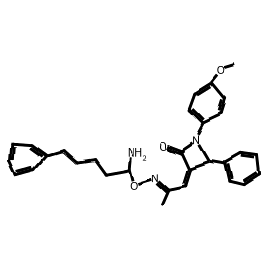 COc1ccc(N2C(=O)C(=CC(C)=NOC(N)CCCCc3ccccc3)C2c2ccccc2)cc1